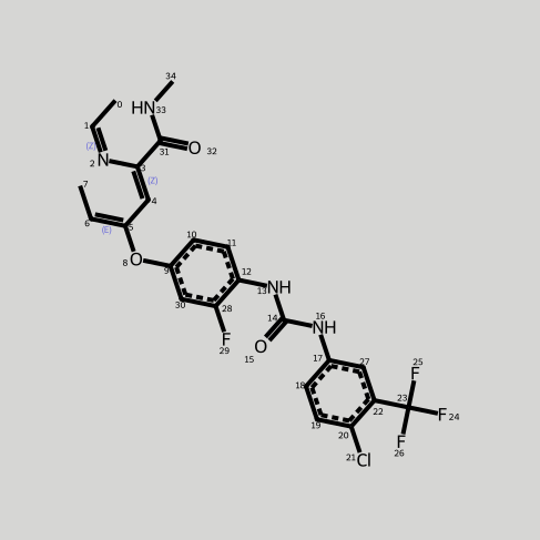 C\C=N/C(=C\C(=C/C)Oc1ccc(NC(=O)Nc2ccc(Cl)c(C(F)(F)F)c2)c(F)c1)C(=O)NC